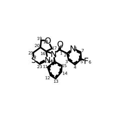 O=C(c1ccc(F)cn1)N(c1ccccc1)C12COCC1CSC=N2